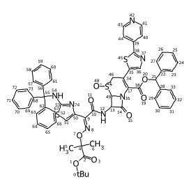 CC(C)(C)OC(=O)C(C)(C)ON=C(C(=O)NC1C(=O)N2C(C(=O)OC(c3ccccc3)c3ccccc3)=C(c3cnc(-c4ccncc4)s3)C[S+]([O-])C12)c1csc(NC(c2ccccc2)(c2ccccc2)c2ccccc2)n1